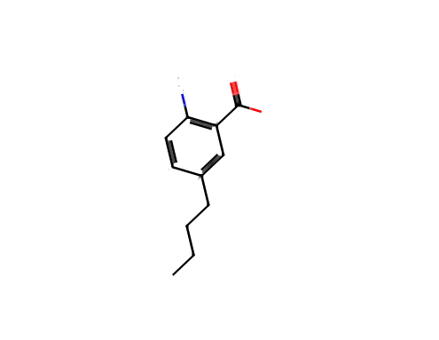 CCCCc1ccc(N)c(C(=O)O)c1